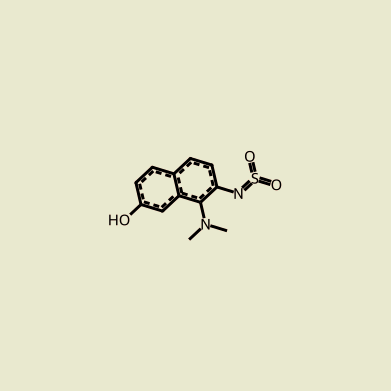 CN(C)c1c(N=S(=O)=O)ccc2ccc(O)cc12